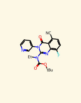 CCN(C(=O)OC(C)(C)C)c1nc2c(F)ccc(C#N)c2c(=O)n1-c1cccnc1